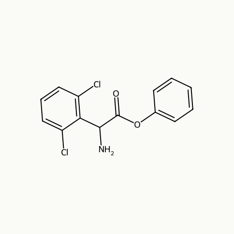 NC(C(=O)Oc1ccccc1)c1c(Cl)cccc1Cl